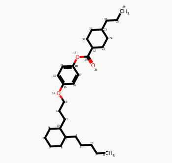 CCCCCC1CCCCC1CCCOc1ccc(OC(=O)C2CCC(CCC)CC2)cc1